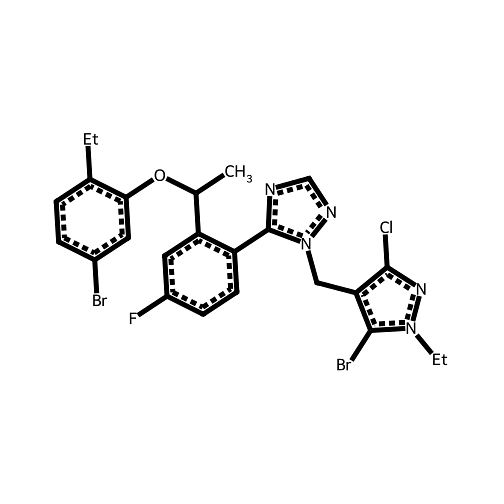 CCc1ccc(Br)cc1OC(C)c1cc(F)ccc1-c1ncnn1Cc1c(Cl)nn(CC)c1Br